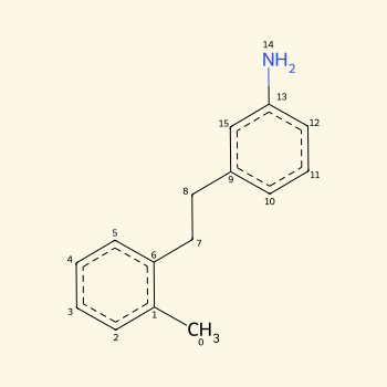 Cc1ccccc1CCc1cccc(N)c1